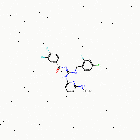 CCOC(=O)Nc1cccc(N/C(=N\C(=O)c2ccc(F)c(F)c2)NCc2ccc(Cl)cc2F)n1